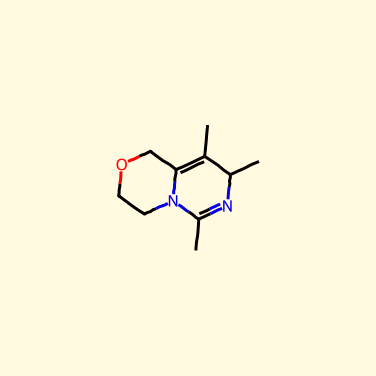 CC1=NC(C)C(C)=C2COCCN12